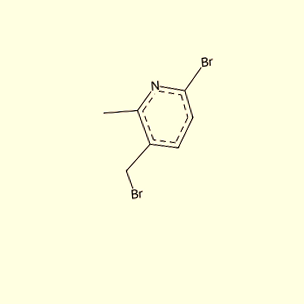 Cc1nc(Br)ccc1CBr